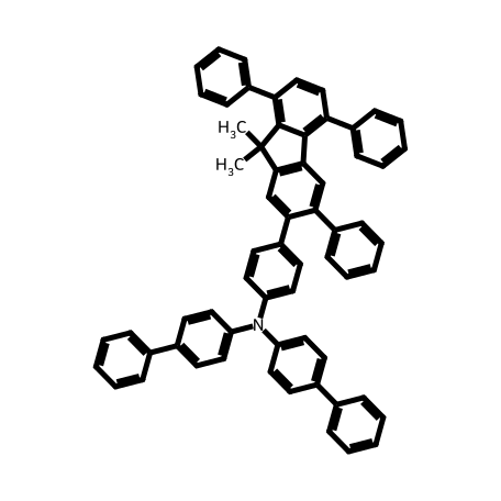 CC1(C)c2cc(-c3ccc(N(c4ccc(-c5ccccc5)cc4)c4ccc(-c5ccccc5)cc4)cc3)c(-c3ccccc3)cc2-c2c(-c3ccccc3)ccc(-c3ccccc3)c21